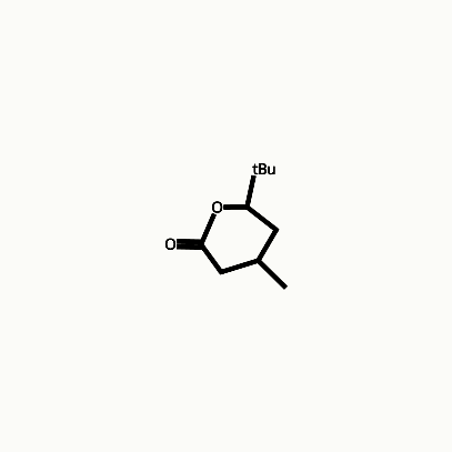 CC1CC(=O)OC(C(C)(C)C)C1